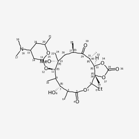 CCC1OC(=O)C(C)[C@H](O)C(C)[C@@H](OC2CC(N(C)C)CC(C)O2)[C@](C)(OC)C[C@@H](C)C(=O)[C@H](C)[C@H]2OC(=O)O[C@]12C